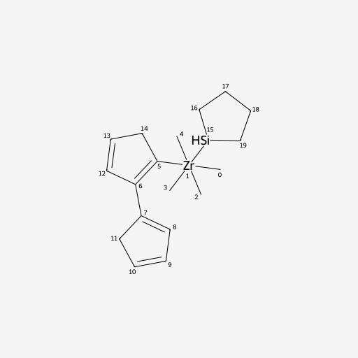 [CH3][Zr]([CH3])([CH3])([CH3])([C]1=C(C2=CC=CC2)C=CC1)[SiH]1CCCC1